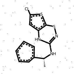 C[C@@H](NC1=NSc2sc(Cl)cc2N1)c1ccccc1